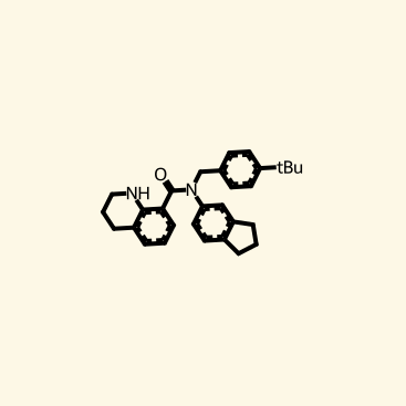 CC(C)(C)c1ccc(CN(C(=O)c2cccc3c2NCCC3)c2ccc3c(c2)CCC3)cc1